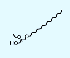 CCCCCCCCCCCCCCOC[C@H](CO)OCC